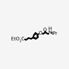 CCOC(=O)CCCc1ccc(OCC(=O)CNC(C)C)cc1